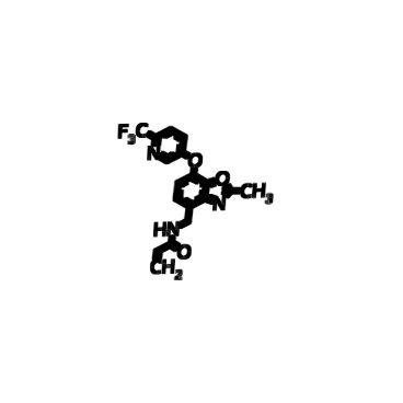 C=CC(=O)NCc1ccc(Oc2ccc(C(F)(F)F)nc2)c2oc(C)nc12